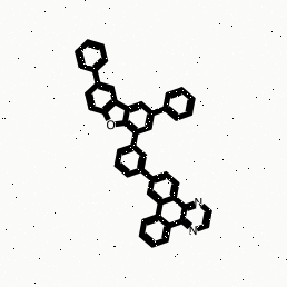 c1ccc(-c2ccc3oc4c(-c5cccc(-c6ccc7c(c6)c6ccccc6c6nccnc76)c5)cc(-c5ccccc5)cc4c3c2)cc1